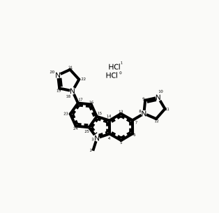 Cl.Cl.Cn1c2ccc(N3C=NCC3)cc2c2cc(N3C=NCC3)ccc21